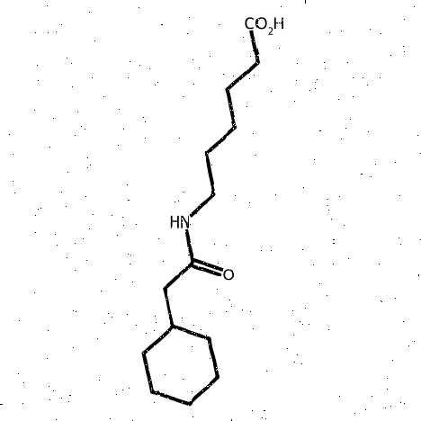 O=C(O)CCCCCNC(=O)CC1CCCCC1